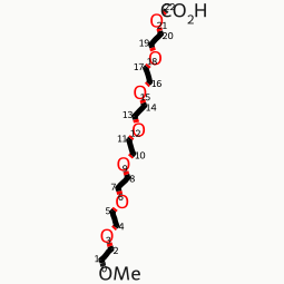 COCCOCCOCCOCCOCCOCCOCCOC(=O)O